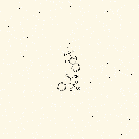 O=C(Nc1ccc2nc(C(F)(F)F)[nH]c2c1)C(c1ccccc1)S(=O)(=O)O